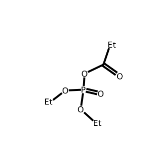 CCOP(=O)(OCC)OC(=O)CC